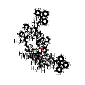 CC[C@H](C)[C@H](NC(=O)[C@@H]1CCCN1C(=O)[C@H]1CCCN1C(=O)[C@H](C)NC(=O)[C@H](C)NC(=O)[C@H](CCC(=O)NC(c1ccccc1)(c1ccccc1)c1ccccc1)NC(=O)[C@@H]1CCCN1C(=O)[C@H]1CCCN1C(=O)[C@@H](N)CCC(=O)OC(C)(C)C)C(=O)N1CCC[C@H]1C(=O)N[C@@H](CCC(=O)NC(c1ccccc1)(c1ccccc1)c1ccccc1)C(=O)N[C@@H](C)C(=O)N[C@@H](C)C(=O)N[C@@H](CC(C)C)C(=O)O